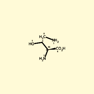 CN.N[C@@H](CO)C(=O)O